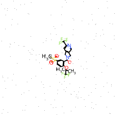 CC(C)(Oc1ccc(S(C)(=O)=O)cc1C(=O)N1Cc2cnc(C(F)(F)F)cc2C1)C(F)(F)F